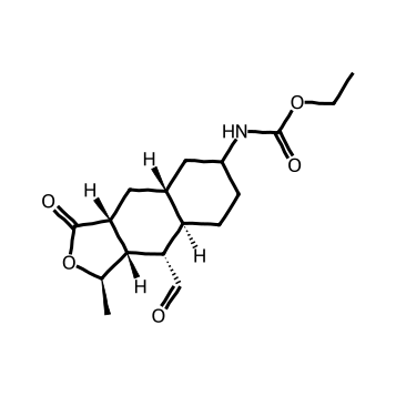 CCOC(=O)NC1CC[C@@H]2[C@@H](C1)C[C@H]1C(=O)O[C@H](C)[C@H]1[C@H]2C=O